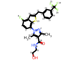 Cc1nn(-c2ccc(F)c3cc(Cc4cccc(C(F)(F)F)c4)sc23)c(C)c1C(=O)NCCO